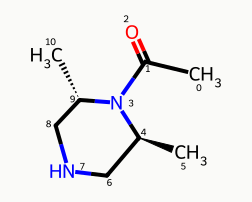 CC(=O)N1[C@@H](C)CNC[C@@H]1C